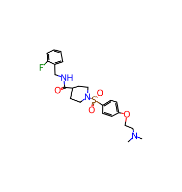 CN(C)CCOc1ccc(S(=O)(=O)N2CCC(C(=O)NCc3ccccc3F)CC2)cc1